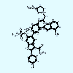 CNC(=O)c1c(-c2ccc(F)cc2)oc2cc(N(C)S(C)(=O)=O)c(-c3ccc4nc(CN5CC[C@H](OC)C5)n5c6cccc(C#N)c6cc5c4n3)cc12